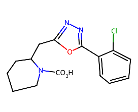 O=C(O)N1CCCCC1Cc1nnc(-c2ccccc2Cl)o1